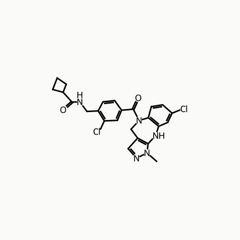 Cn1ncc2c1Nc1cc(Cl)ccc1N(C(=O)c1ccc(CNC(=O)C3CCC3)c(Cl)c1)C2